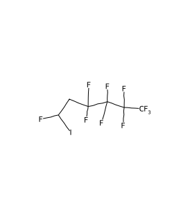 FC(I)CC(F)(F)C(F)(F)C(F)(F)C(F)(F)F